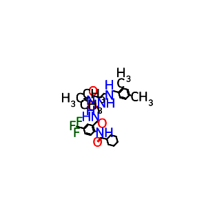 Cc1ccc(CNCC(NC(=O)CNC(=O)c2cc(C(F)(F)F)ccc2NC(=O)C2CCCCC2)C(=O)NC(C)(C)C)c(C)c1